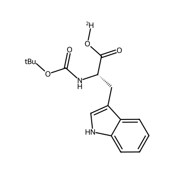 [2H]OC(=O)[C@H](Cc1c[nH]c2ccccc12)NC(=O)OC(C)(C)C